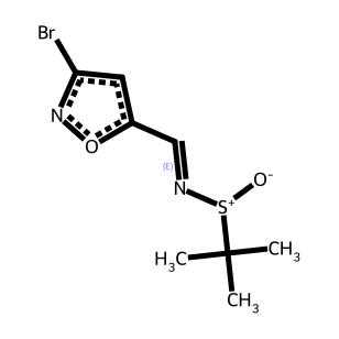 CC(C)(C)[S+]([O-])/N=C/c1cc(Br)no1